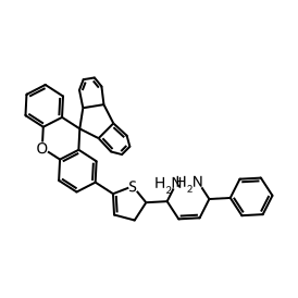 NC(/C=C\C(N)C1CC=C(c2ccc3c(c2)C2(c4ccccc4O3)c3ccccc3C3C=CC=CC32)S1)c1ccccc1